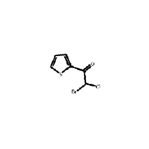 O=C(c1cccs1)C(Cl)Br